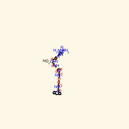 CN(Cc1cnc2c(n1)C(N)NC(N)=N2)c1ccc(C(=O)N[C@@H](CCC(=O)NCCSC2CC(=O)N(CCC(=O)NCCOCCOCCC(=O)NCCC(=O)N3Cc4ccccc4/C=C\c4ccccc43)C2=O)C(=O)O)cc1